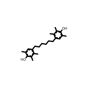 Cc1cc(CCCCCCc2cc(C)c(O)c(C)c2C)c(C)c(C)c1O